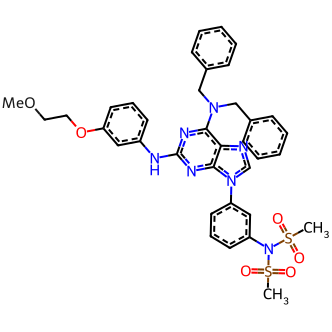 COCCOc1cccc(Nc2nc(N(Cc3ccccc3)Cc3ccccc3)c3ncn(-c4cccc(N(S(C)(=O)=O)S(C)(=O)=O)c4)c3n2)c1